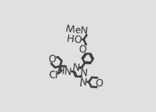 CNCC(O)COc1cccc(-c2nc(NCC3(CCl)CCOCC3)cc(N(C)C3CCOCC3)n2)c1